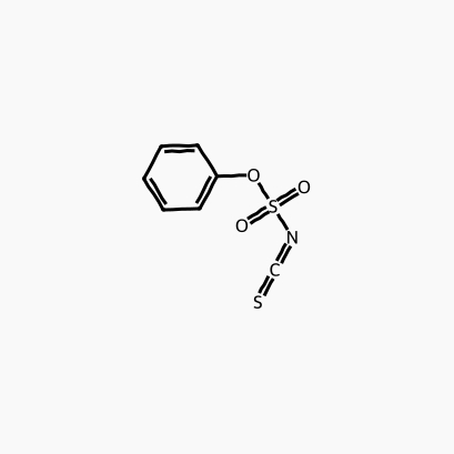 O=S(=O)(N=C=S)Oc1ccccc1